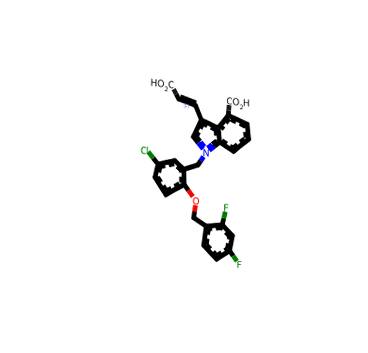 O=C(O)/C=C/c1cn(Cc2cc(Cl)ccc2OCc2ccc(F)cc2F)c2cccc(C(=O)O)c12